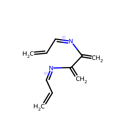 C=C/C=N\C(=C)C(=C)/N=C\C=C